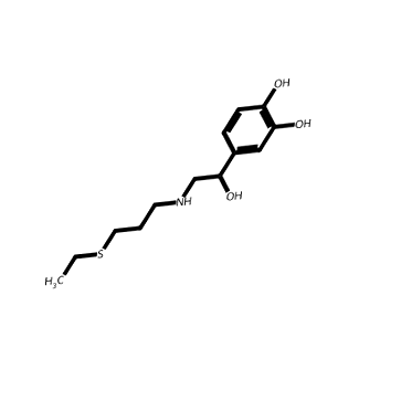 CCSCCCNCC(O)c1ccc(O)c(O)c1